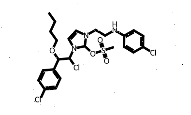 CCCCOC(c1ccc(Cl)cc1)C(Cl)N1C=CN(CCNc2ccc(Cl)cc2)C1OS(C)(=O)=O